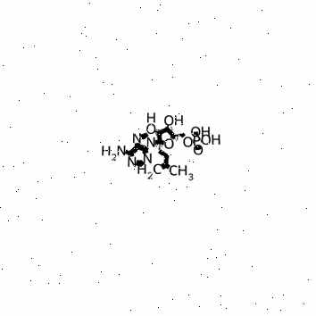 C=C(C)CC[C@@]1(n2cnc3c(N)ncnc32)O[C@H](COP(=O)(O)O)[C@@H](O)[C@H]1O